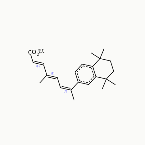 CCOC(=O)/C=C/C(C)=C/C=C(/C)c1ccc2c(c1)C(C)(C)CCC2(C)C